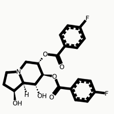 O=C(O[C@H]1[C@H](O)[C@H]2[C@@H](O)CCN2C[C@@H]1OC(=O)c1ccc(F)cc1)c1ccc(F)cc1